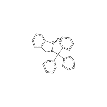 C[C@@H]1c2ccccc2CN1C(c1ccccc1)(c1ccccc1)c1ccccc1